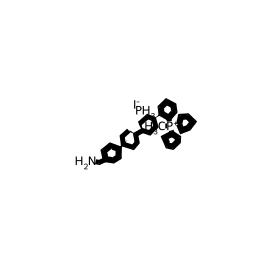 C[P+](c1ccccc1)(c1ccccc1)c1ccccc1[C@H]1CC[C@H]([C@H]2CC[C@H](c3ccc(CN)cc3)CC2)CC1.P.[I-]